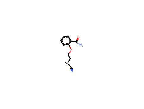 N#C[Se]CCOc1ccccc1C(N)=O